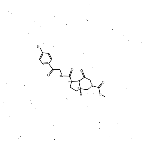 COC(=O)N1CC(=O)N2[C@@H](CC[C@H]2C(=O)NCC(=O)c2ccc(Br)cc2)C1